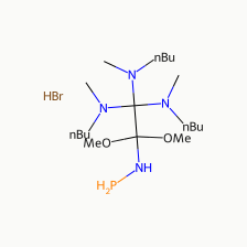 Br.CCCCN(C)C(N(C)CCCC)(N(C)CCCC)C(NP)(OC)OC